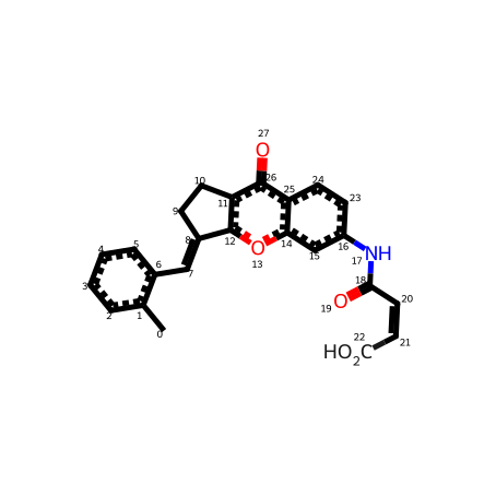 Cc1ccccc1C=C1CCc2c1oc1cc(NC(=O)/C=C\C(=O)O)ccc1c2=O